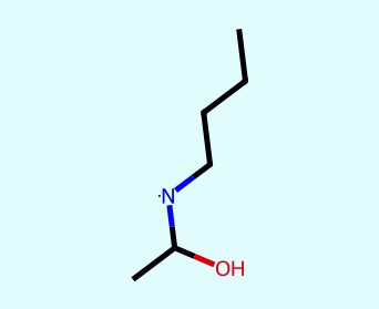 CCCC[N]C(C)O